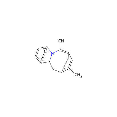 CC1=C/C2=C(/C#N)N3c4ccc(cc4)C3[C]C1=CC2